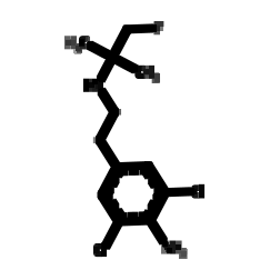 CC(C)(CF)N[CH][CH]c1cc(Cl)c(N)c(Cl)c1